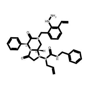 C=CCN(C(=O)NCc1ccccc1)N1CC(=O)N2[C@@H](c3ccccc3)C(=O)N(Cc3cccc(C=C)c3NN)C[C@@H]21